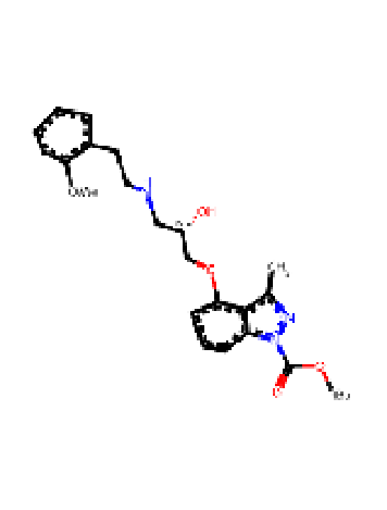 COc1ccccc1CCNC[C@H](O)COc1cccc2c1c(C)nn2C(=O)OC(C)(C)C